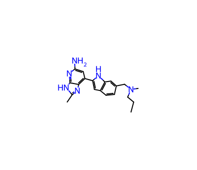 CCCN(C)Cc1ccc2cc(-c3cc(N)nc4[nH]c(C)nc34)[nH]c2c1